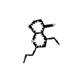 CCCc1cc(CC)c2c(=O)cccc-2o1